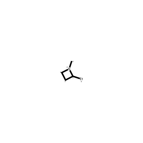 CCC1CCN1C